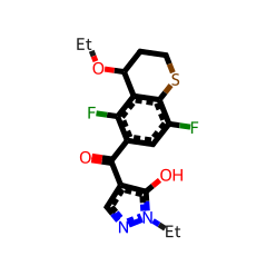 CCOC1CCSc2c(F)cc(C(=O)c3cnn(CC)c3O)c(F)c21